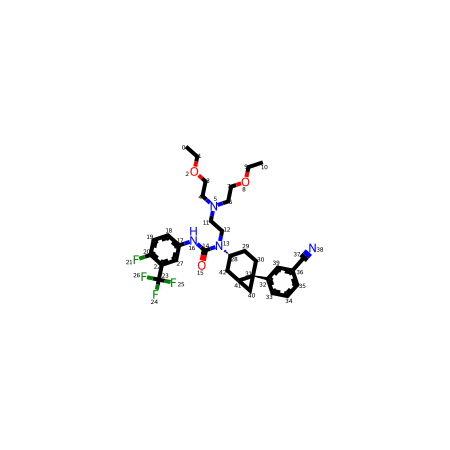 CCOCCN(CCOCC)CCN(C(=O)Nc1ccc(F)c(C(F)(F)F)c1)[C@@H]1CC[C@]2(c3cccc(C#N)c3)CC2C1